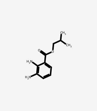 CC(C)COC(=O)c1cccc(N)c1N